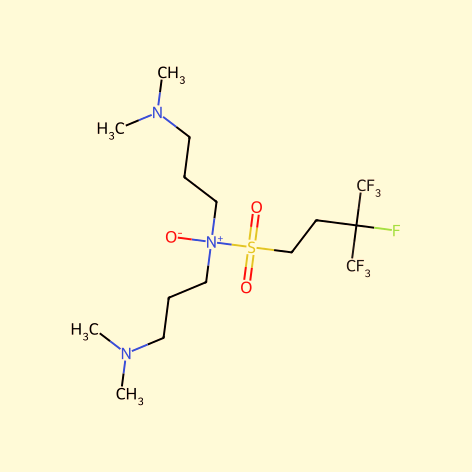 CN(C)CCC[N+]([O-])(CCCN(C)C)S(=O)(=O)CCC(F)(C(F)(F)F)C(F)(F)F